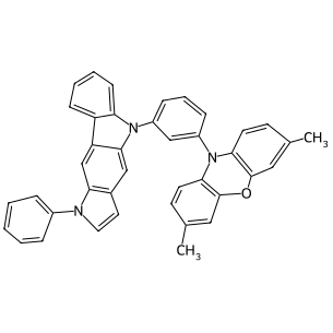 Cc1ccc2c(c1)Oc1cc(C)ccc1N2c1cccc(-n2c3ccccc3c3cc4c(ccn4-c4ccccc4)cc32)c1